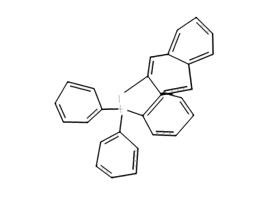 c1ccc([PH](Cc2ccc3ccccc3c2)(c2ccccc2)c2ccccc2)cc1